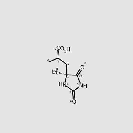 CC[C@@]1(C[C@@H](C)C(=O)O)NC(=O)NC1=O